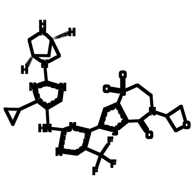 O=C1c2sc(-c3nc(Nc4cnc(N5C[C@H]6C[C@@H]5CN6)nc4C4CC4)ncc3C(F)(F)F)cc2S(=O)(=O)CCN1C1COC1